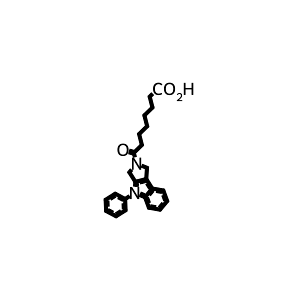 O=C(O)CCCCCCC(=O)N1Cc2c(n(-c3ccccc3)c3ccccc23)C1